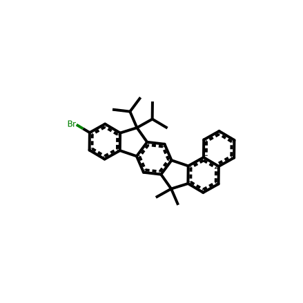 CC(C)C1(C(C)C)c2cc(Br)ccc2-c2cc3c(cc21)-c1c(ccc2ccccc12)C3(C)C